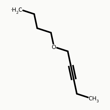 [CH2]CCCOCC#CCC